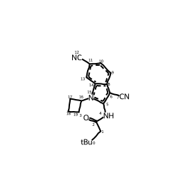 CC(C)(C)CC(=O)Nc1c(C#N)c2ccc(C#N)cc2n1C1CCC1